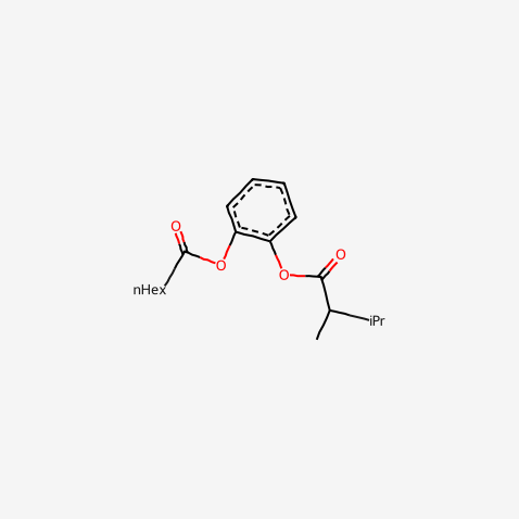 CCCCCCC(=O)Oc1ccccc1OC(=O)C(C)C(C)C